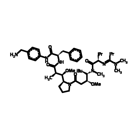 CC[C@H](C)[C@@H]([C@@H](CC(=O)N1CCC[C@H]1[C@H](OC)[C@@H](C)C(=O)N[C@@H](Cc1ccccc1)C(=O)Nc1ccc(CN)cc1)OC)N(C)C(=O)[C@@H](/N=C(\C(C)C)N(C)C)C(C)C